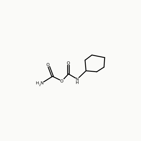 NC(=O)OC(=O)NC1CCCCC1